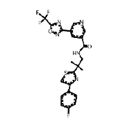 CC(C)(CNC(=O)c1cncc(-c2noc(C(F)(F)F)n2)c1)c1nc(-c2ccc(F)cc2)cs1